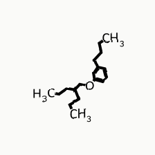 CCCCc1cccc(OCC(CCC)CCC)c1